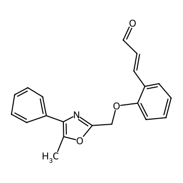 Cc1oc(COc2ccccc2C=CC=O)nc1-c1ccccc1